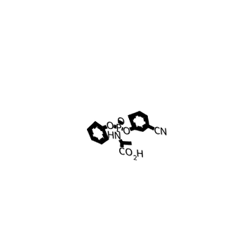 CC(NP(=O)(Oc1ccccc1)Oc1cccc(C#N)c1)C(=O)O